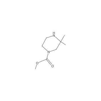 COC(=O)N1CCNC(C)(C)C1